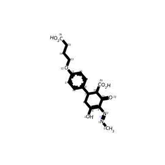 C/N=N/C1=C(O)CC(c2ccc(OCCCC(=O)O)cc2)C(C(=O)O)C1=O